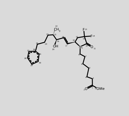 COC(=O)CCCCCCN1C(=O)C(F)(F)C[C@@H]1/C=C/[C@@H](O)[C@@H](C)CCCc1ccccc1